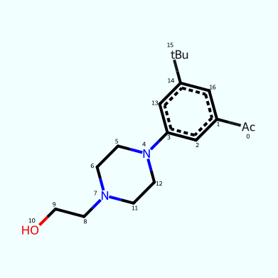 CC(=O)c1cc(N2CCN(CCO)CC2)cc(C(C)(C)C)c1